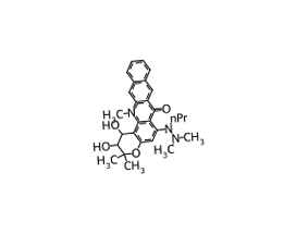 CCCN(c1cc2c(c3c1c(=O)c1cc4ccccc4cc1n3C)C(O)C(O)C(C)(C)O2)N(C)C